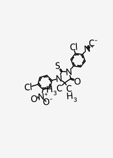 [C-]#[N+]c1ccc(N2C(=O)C(C)(C)N(c3ccc(Cl)c([N+](=O)[O-])c3)C2=S)cc1Cl